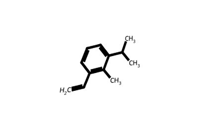 C=Cc1cccc(C(C)C)c1C